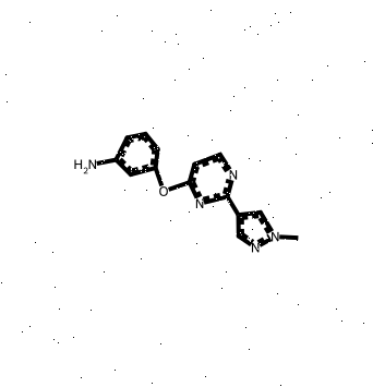 Cn1cc(-c2nccc(Oc3cccc(N)c3)n2)cn1